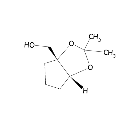 CC1(C)O[C@@H]2CCC[C@]2(CO)O1